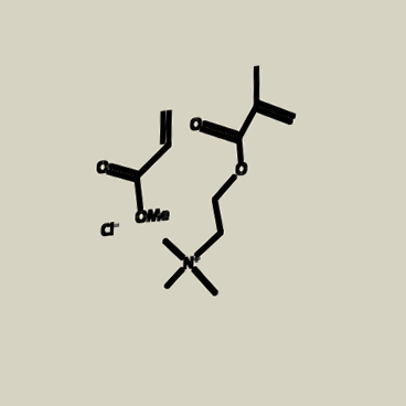 C=C(C)C(=O)OCC[N+](C)(C)C.C=CC(=O)OC.[Cl-]